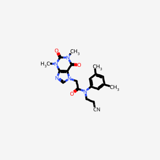 Cc1cc(C)cc(N(CCC#N)C(=O)Cn2cnc3c2c(=O)n(C)c(=O)n3C)c1